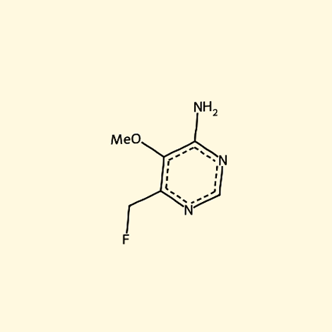 COc1c(N)ncnc1CF